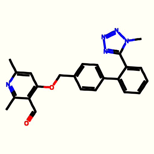 Cc1cc(OCc2ccc(-c3ccccc3-c3nnnn3C)cc2)c(C=O)c(C)n1